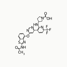 CC(=O)Nc1nc2c(Oc3cc(-c4ccc(C(F)(F)F)nc4NC4CCN(C(=O)O)C4)ncn3)cccc2s1